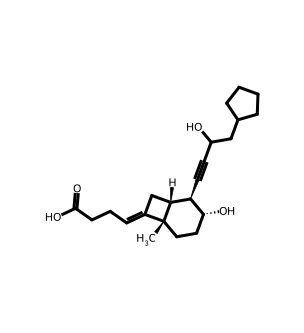 C[C@]12CC[C@@H](O)[C@H](C#CC(O)CC3CCCC3)[C@H]1CC2=CCCC(=O)O